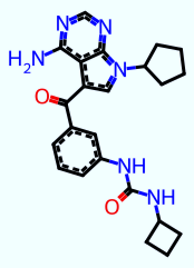 Nc1ncnc2c1c(C(=O)c1cccc(NC(=O)NC3CCC3)c1)cn2C1CCCC1